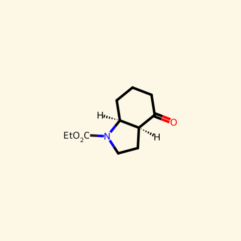 CCOC(=O)N1CC[C@@H]2C(=O)CCC[C@@H]21